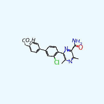 Cc1nc(C)c(-c2ccc(-c3ccc(CC(=O)O)cc3)cc2Cl)nc1C(N)=O